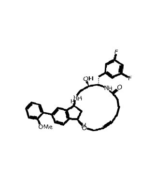 COc1ccccc1-c1ccc2c(c1)[C@@H]1C[C@H]2OCC=CCCCC(=O)N[C@@H](Cc2cc(F)cc(F)c2)[C@H](O)CN1